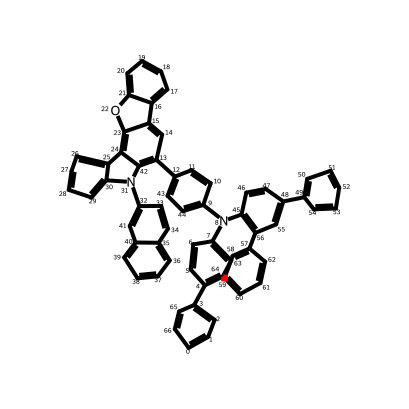 c1ccc(-c2ccc(N(c3ccc(-c4cc5c6ccccc6oc5c5c6ccccc6n(-c6ccc7ccccc7c6)c45)cc3)c3ccc(-c4ccccc4)cc3-c3ccccc3)cc2)cc1